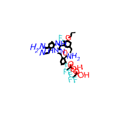 CCCOc1cc(CC)cc(C(Nc2ccc3c(N)nccc3c2)c2nc(-c3ccccc3C(N)=O)c[nH]2)c1F.O=C(O)C(F)(F)F.O=C(O)C(F)(F)F